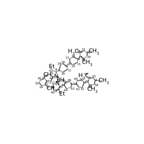 BN1C(/C(=C2/CC(CC)C(c3ccc(-c4ccc(-c5c(C)cc(C)cc5C)cc4)cc3)=N2)c2c(C)cccc2C)=CCC(CC)=C1c1ccc(-c2ccc(C3C(C)=CC(C)=CC3C)cc2)cc1